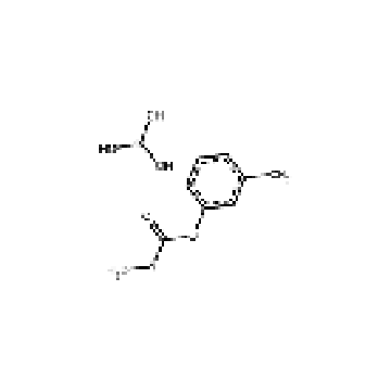 CNC(=O)Oc1cccc(C)c1.OB(O)O